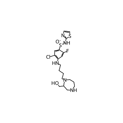 [O-][S+](Nc1nccs1)c1cc(Cl)c(NCCCCN2CCCNCC2CO)cc1F